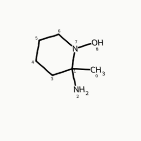 CC1(N)CCCCN1O